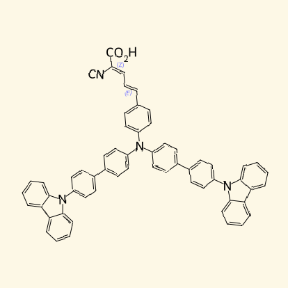 [C-]#[N+]/C(=C\C=C\c1ccc(N(c2ccc(-c3ccc(-n4c5ccccc5c5ccccc54)cc3)cc2)c2ccc(-c3ccc(-n4c5ccccc5c5ccccc54)cc3)cc2)cc1)C(=O)O